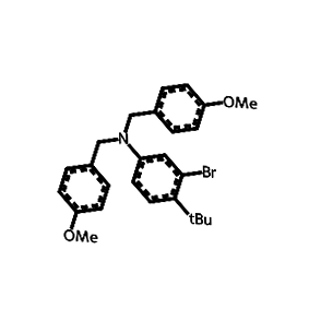 COc1ccc(CN(Cc2ccc(OC)cc2)c2ccc(C(C)(C)C)c(Br)c2)cc1